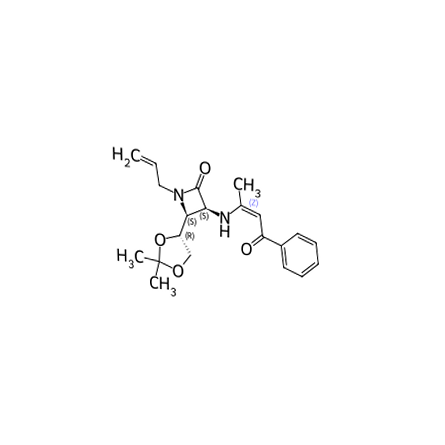 C=CCN1C(=O)[C@@H](N/C(C)=C\C(=O)c2ccccc2)[C@H]1[C@@H]1COC(C)(C)O1